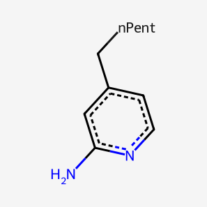 CCCCCCc1ccnc(N)c1